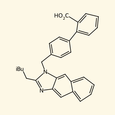 CCC(C)Cc1nc2cc3ccccc3cc2n1Cc1ccc(-c2ccccc2C(=O)O)cc1